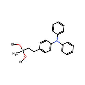 CCO[Si](C)(CCc1ccc(N(c2ccccc2)c2ccccc2)cc1)OCC